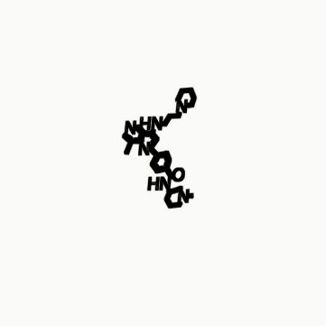 Cc1cncc2c(NCCCN3CCCCC3)cc(-c3ccc(C(=O)NC4CCCN(C)C4)cc3)nc12